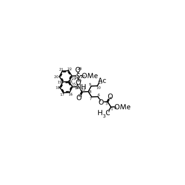 COC(C)C(=O)OCCC(CCC(C)=O)C(=O)Nc1cccc2cccc(S(=O)(=O)OC)c12